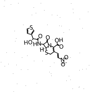 O=C(O)C1=C(C=C[N+](=O)[O-])CS[C@H]2C(NC(=O)C(O)c3ccsc3)C(=O)N12